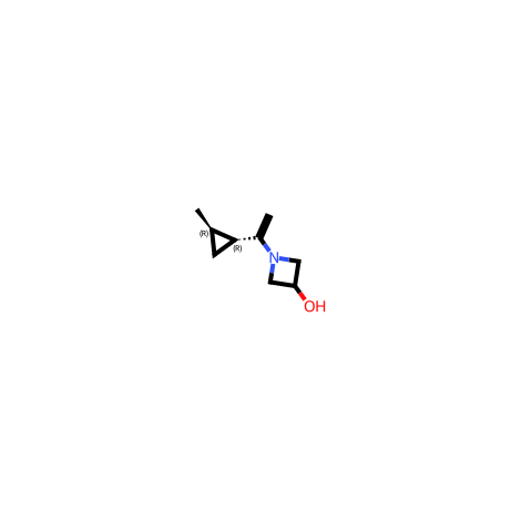 C=C([C@@H]1C[C@H]1C)N1CC(O)C1